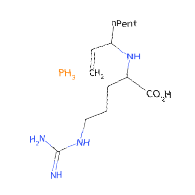 C=CC(CCCCC)NC(CCCNC(=N)N)C(=O)O.P